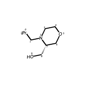 C[C](C)CN1CCOC[C@@H]1CO